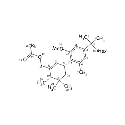 CCCCCCC(C)(C)c1cc(C)c([C@H]2C=C(COC(=O)C(C)(C)C)[C@@H](C)C(C)(C)C2)c(OC)c1